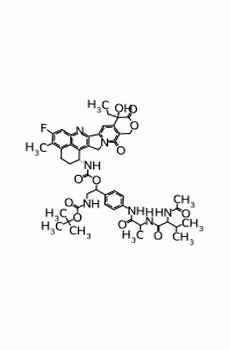 CC[C@]1(O)C(=O)OCc2c1cc1n(c2=O)Cc2c-1nc1cc(F)c(C)c3c1c2[C@H](NC(=O)OC(CNC(=O)OC(C)(C)C)c1ccc(NC(=O)C(C)NC(=O)C(NC(C)=O)C(C)C)cc1)CC3